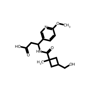 COc1ccc(C(CC(=O)O)NC(=O)C2(C)CC(CO)C2)cn1